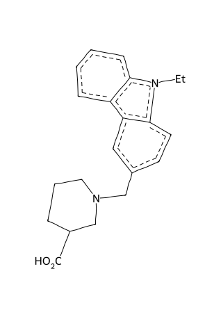 CCn1c2ccccc2c2cc(CN3CCCC(C(=O)O)C3)ccc21